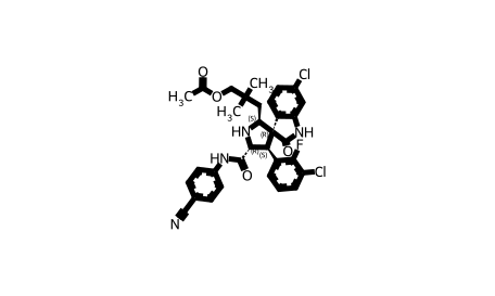 CC(=O)OCC(C)(C)C[C@@H]1N[C@@H](C(=O)Nc2ccc(C#N)cc2)[C@H](c2cccc(Cl)c2F)[C@]12C(=O)Nc1cc(Cl)ccc12